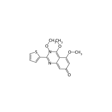 COc1cc(=O)cc2nc(-c3cccs3)n(OC)c(OC)c1-2